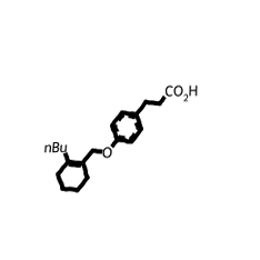 CCCCC1=C(COc2ccc(CCC(=O)O)cc2)CCCC1